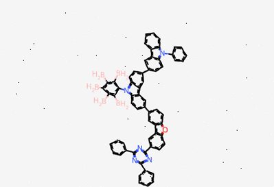 Bc1c(B)c(B)c(-n2c3ccc(-c4ccc5oc6ccc(-c7nc(-c8ccccc8)nc(-c8ccccc8)n7)cc6c5c4)cc3c3cc(-c4ccc5c(c4)c4ccccc4n5-c4ccccc4)ccc32)c(B)c1B